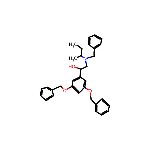 CCC(C)N(Cc1ccccc1)CC(O)c1cc(OCc2ccccc2)cc(OCc2ccccc2)c1